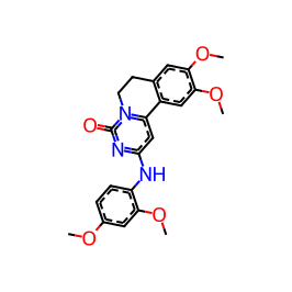 COc1ccc(Nc2cc3n(c(=O)n2)CCc2cc(OC)c(OC)cc2-3)c(OC)c1